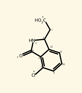 O=C(O)CC1NC(=O)c2c(Cl)cccc21